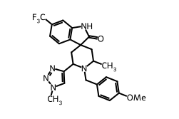 COc1ccc(CN2C(C)CC3(CC2c2cn(C)nn2)C(=O)Nc2cc(C(F)(F)F)ccc23)cc1